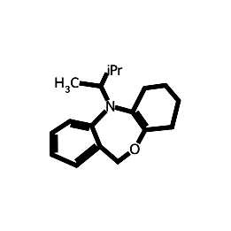 CC(C)C(C)N1C2=C(CCCC2)OCc2ccccc21